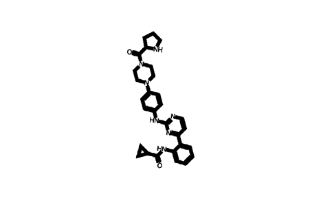 O=C(Nc1ccccc1-c1ccnc(Nc2ccc(N3CCN(C(=O)C4CCCN4)CC3)cc2)n1)C1CC1